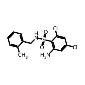 Cc1ccccc1CNS(=O)(=O)c1c(N)cc(Cl)cc1Cl